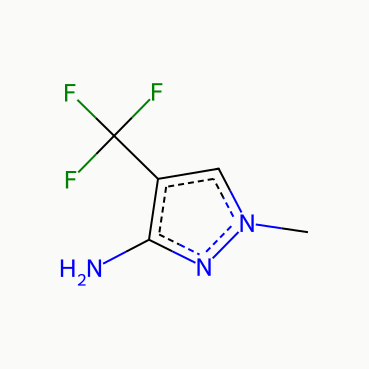 Cn1cc(C(F)(F)F)c(N)n1